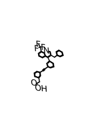 O=C(O)Cc1cccc(C#Cc2cccc(-c3c(Cc4ccccc4)cnc4c(C(F)(F)F)cccc34)c2)c1